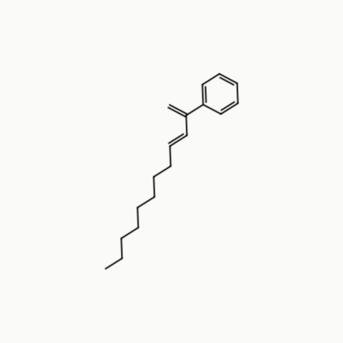 C=C(C=CCCCCCCCC)c1ccccc1